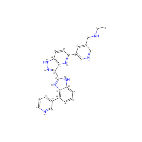 CCNCc1cncc(-c2ccc3[nH]nc(-c4nc5c(-c6cccnc6)cccc5[nH]4)c3n2)c1